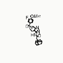 COc1ccc(C(=O)N2CCc3c(ncnc3NC(=O)CC34CC5CC(CC(C5)C3)C4)C2)cc1F